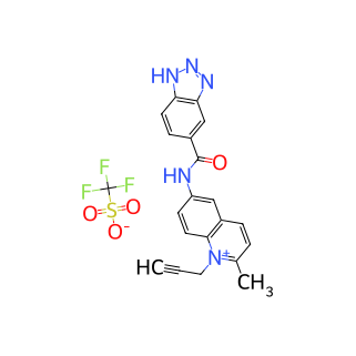 C#CC[n+]1c(C)ccc2cc(NC(=O)c3ccc4[nH]nnc4c3)ccc21.O=S(=O)([O-])C(F)(F)F